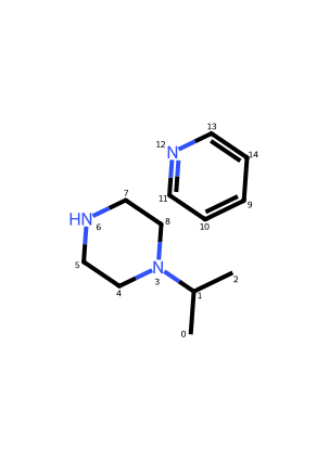 CC(C)N1CCNCC1.c1ccncc1